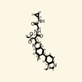 Cn1cnc2ccc(-c3cc4sc(C(C(=O)NCC(=O)NC5CC5)S(C)(=O)=O)nc4cc3F)cc21